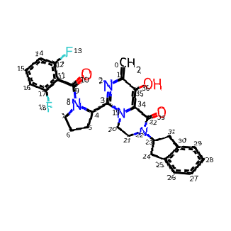 C=C1N=C(C2CCCN2C(=O)c2c(F)cccc2F)N2CCN(C3Cc4ccccc4C3)C(=O)C2=C1O